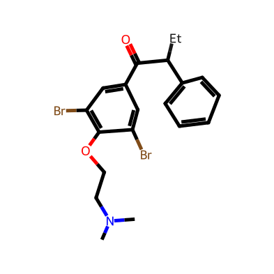 CCC(C(=O)c1cc(Br)c(OCCN(C)C)c(Br)c1)c1ccccc1